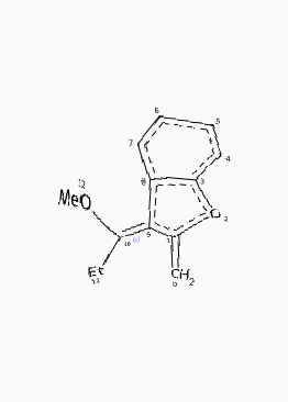 C=c1oc2ccccc2/c1=C(/CC)OC